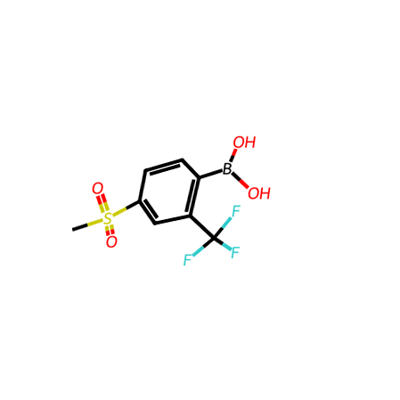 CS(=O)(=O)c1ccc(B(O)O)c(C(F)(F)F)c1